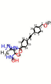 CC(C)OCc1ccc(C#Cc2ccc(C(=O)NC(C(=O)NO)[C@@H](C)N)cc2)cc1